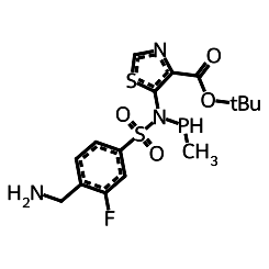 CPN(c1scnc1C(=O)OC(C)(C)C)S(=O)(=O)c1ccc(CN)c(F)c1